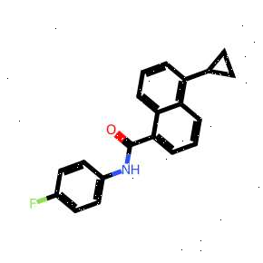 O=C(Nc1ccc(F)cc1)c1cccc2c(C3CC3)cccc12